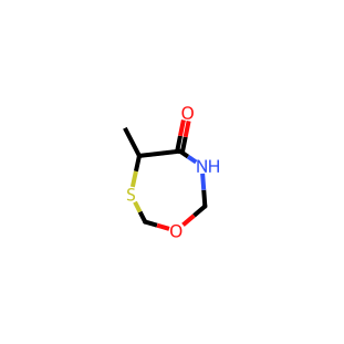 CC1SCOCNC1=O